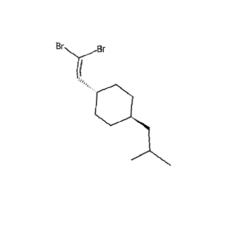 CC(C)C[C@H]1CC[C@H](C=C(Br)Br)CC1